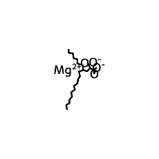 CCCCCCCCCCCCC(CCCCCCC)CC(C(=O)[O-])C(=O)[O-].[Mg+2]